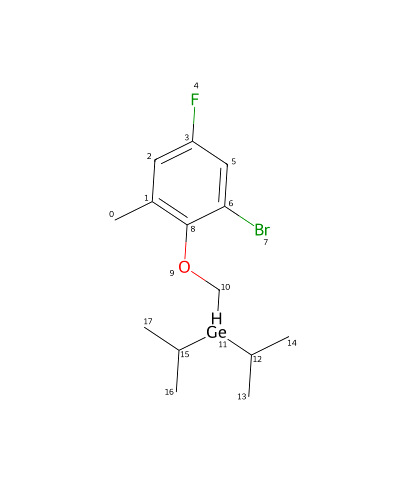 Cc1cc(F)cc(Br)c1O[CH2][GeH]([CH](C)C)[CH](C)C